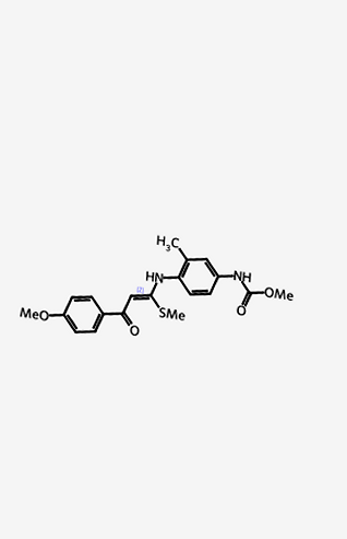 COC(=O)Nc1ccc(N/C(=C/C(=O)c2ccc(OC)cc2)SC)c(C)c1